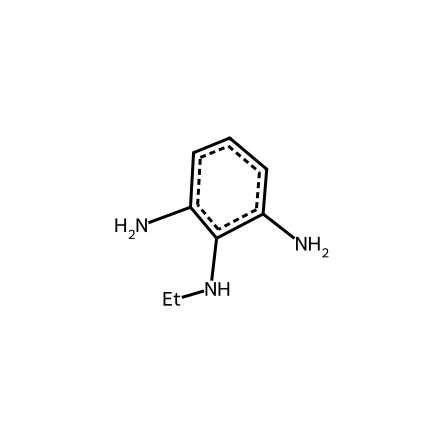 [CH2]CNc1c(N)cccc1N